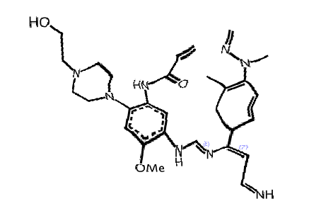 C=CC(=O)Nc1cc(N/C=N/C(=C\C=N)C2C=CC(N(C)N=C)=C(C)C2)c(OC)cc1N1CCN(CCO)CC1